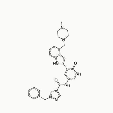 CN1CCN(Cc2cccc3[nH]c(-c4cc(NC(=O)c5cnn(Cc6ccccc6)c5)c[nH]c4=O)cc23)CC1